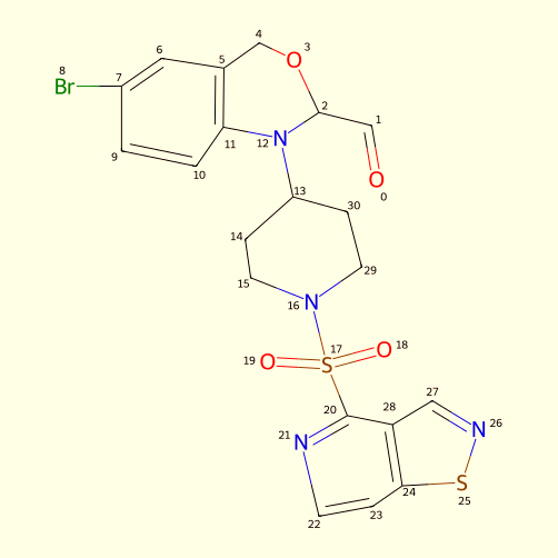 O=CC1OCc2cc(Br)ccc2N1C1CCN(S(=O)(=O)c2nccc3sncc23)CC1